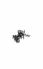 CCCCCCCN1CCN(C[C@H](O)c2ccnc3ccc(OC)cc23)[C@@H](CO)C1